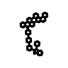 c1ccc(-c2ccc(-c3ccccc3N(c3ccc(-c4ccc(-c5cccc(-c6oc7ccccc7c6-c6ccccc6)c5)cc4)cc3)c3ccc(-c4ccc5c(ccc6ccccc65)c4)cc3)cc2)cc1